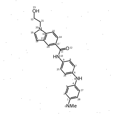 CNc1ccc(Nc2ccc(NC(=O)c3ccc4c(ccn4CCO)c3)cc2)cc1